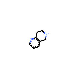 C1=[N+]Cc2cccnc2C1